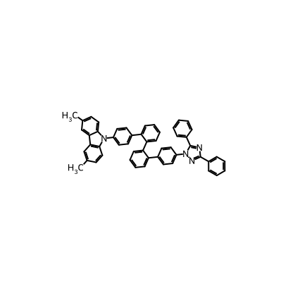 Cc1ccc2c(c1)c1cc(C)ccc1n2-c1ccc(-c2ccccc2-c2ccccc2-c2ccc(-n3nc(-c4ccccc4)nc3-c3ccccc3)cc2)cc1